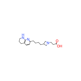 O=C(O)CCN1CC(CCCCc2ccc3c(n2)NCCC3)C1